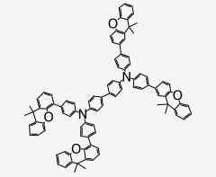 CC1(C)c2ccccc2Oc2ccc(-c3ccc(N(c4ccc(-c5ccc(N(c6ccc(-c7cccc8c7Oc7ccccc7C8(C)C)cc6)c6ccc(-c7cccc8c7Oc7ccccc7C8(C)C)cc6)cc5)cc4)c4ccc(-c5ccc6c(c5)C(C)(C)c5ccccc5O6)cc4)cc3)cc21